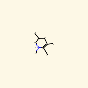 CC1=C(C)N(C)CC(C)C1